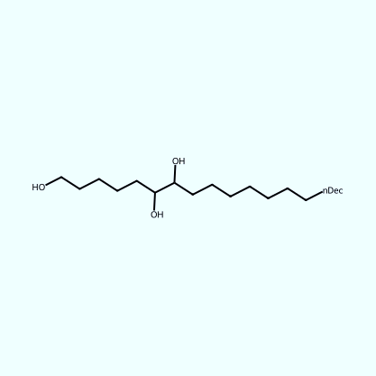 CCCCCCCCCCCCCCCCCC(O)C(O)CCCCCO